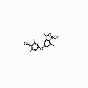 [C-]#[N+]c1c(C)cc(Oc2cc(C)c3c(c2)C(C)OB3O)cc1C